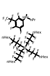 CCCCCCC(F)(F)C(F)(F)C(F)(F)[B-](C(F)(F)C(F)(F)C(F)(F)CCCCCC)(C(F)(F)C(F)(F)C(F)(F)CCCCCC)C(F)(F)C(F)(F)C(F)(F)CCCCCC.CCC[PH+](C)c1cc(F)c(F)c(C(F)(F)C(F)(F)F)c1F